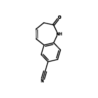 N#Cc1ccc2c(c1)C=CCC(=O)N2